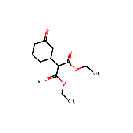 CCOC(=O)C(C(=O)OCC)C1CCCC(=O)C1.[In]